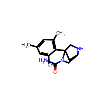 Cc1cc(C)c(C23CNC(CN2C(N)=O)C3)c(C)c1